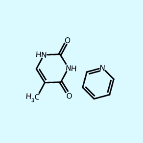 Cc1c[nH]c(=O)[nH]c1=O.c1ccncc1